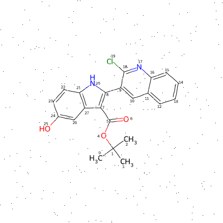 CC(C)(C)OC(=O)c1c(-c2cc3ccccc3nc2Cl)[nH]c2ccc(O)cc12